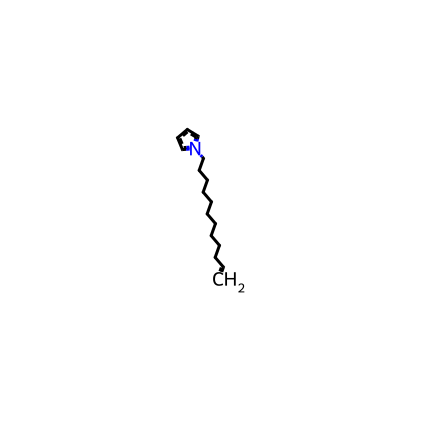 C=CCCCCCCCCCCn1cccc1